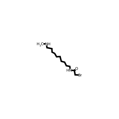 CNCCCCCCCCCCNC(=O)CBr